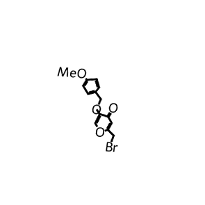 COc1ccc(COc2coc(CBr)cc2=O)cc1